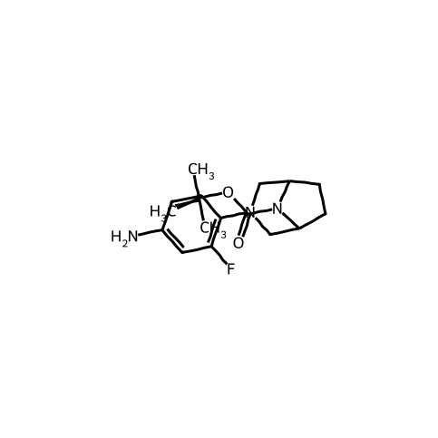 CC(C)(C)OC(=O)N1C2CCC1CN(c1ccc(N)cc1F)C2